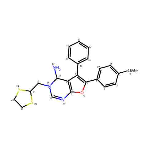 COc1ccc(-c2oc3c(c2-c2ccccc2)C(N)N(CC2SCCS2)C=N3)cc1